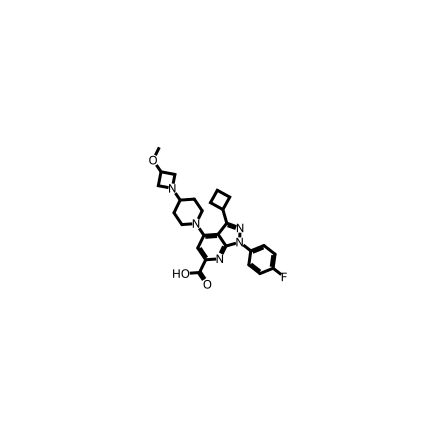 COC1CN(C2CCN(c3cc(C(=O)O)nc4c3c(C3CCC3)nn4-c3ccc(F)cc3)CC2)C1